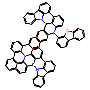 c1ccc(-c2cccc(-c3ccccc3)c2N2c3ccccc3B3c4c(cc(-c5ccc6c(c5)N(c5cccc7c5oc5ccccc57)c5cccc7c5B6n5c6ccccc6c6cccc-7c65)cc42)-c2cccc4c5ccccc5n3c24)cc1